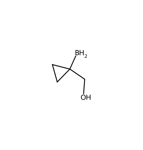 BC1(CO)CC1